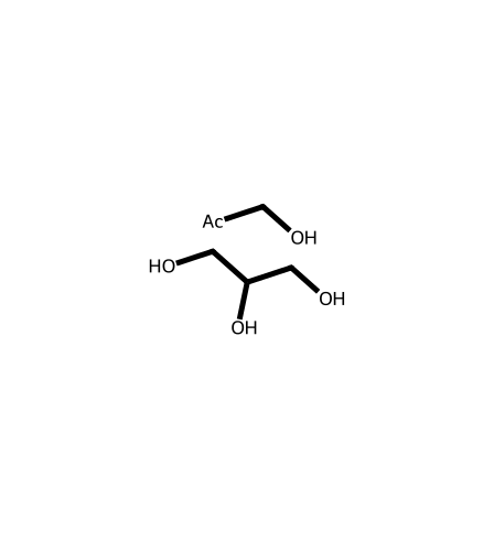 CC(=O)CO.OCC(O)CO